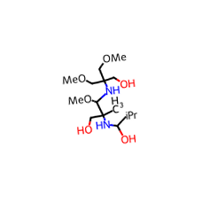 COCC(CO)(COC)NC(OC)C(C)(CO)NC(O)C(C)C